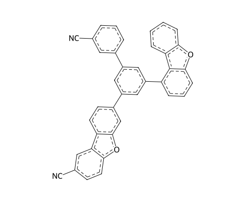 N#Cc1cccc(-c2cc(-c3ccc4c(c3)oc3ccc(C#N)cc34)cc(-c3cccc4oc5ccccc5c34)c2)c1